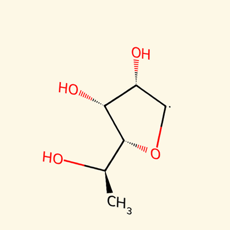 C[C@@H](O)[C@H]1O[CH][C@@H](O)[C@H]1O